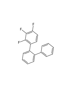 Fc1ccc(-c2ccccc2-c2ccccc2)c(F)c1F